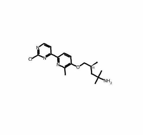 Cc1nc(-c2ccnc(Cl)n2)ccc1OC[C@@H](C)CC(C)(C)N